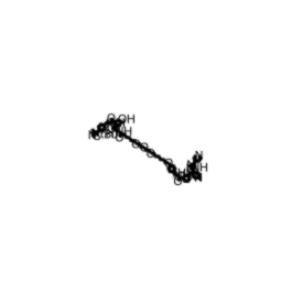 Cc1ncsc1-c1ccc(CNC(=O)C2C[C@@](O)(I)CN2C(=O)[C@@H](NC(=O)CCCCCOCCOCCOCCCCCCOc2ccc([C@@H](C)NC(=O)c3cccc(NC4(c5nnc(-c6ccncc6)[nH]5)CCN(C)CC4)c3)cc2)C(C)(C)C)cc1